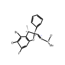 C[C@H]1c2c(cc(F)c(Cl)c2Br)O[C@]1(/C=N/[S+]([O-])C(C)(C)C)c1ccccc1